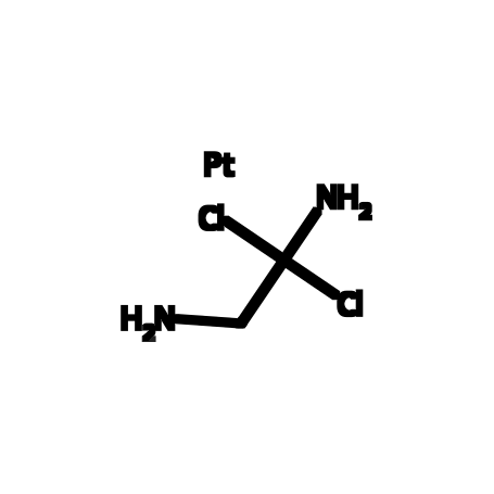 NCC(N)(Cl)Cl.[Pt]